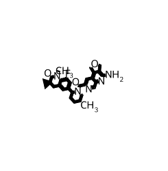 C[C@H]1CCC(c2cc(F)c3c(c2)CC2(CC2)C(=O)N3C)N(C(=O)c2cc3c4c(c(N)nc3cn2)COC4)C1